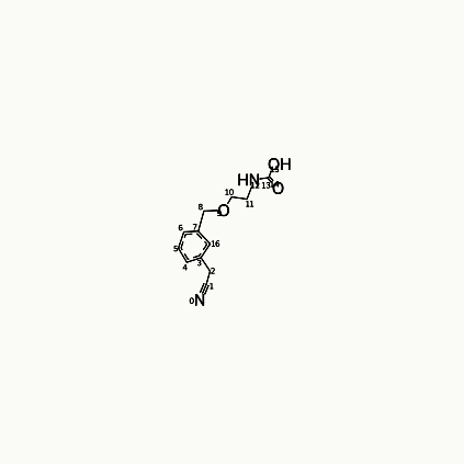 N#CCc1cccc(COCCNC(=O)O)c1